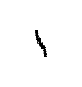 CCCCCCCc1ccc(OC(=O)c2cnc(-c3ccc(CCCCCCC)cc3)cn2)cc1